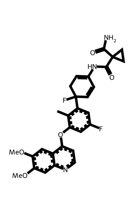 COc1cc2nccc(Oc3cc(F)cc(C4(F)C=CC(NC(=O)C5(C(N)=O)CC5)=CC4)c3C)c2cc1OC